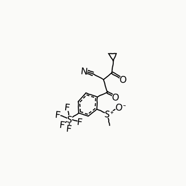 C[S+]([O-])c1cc(S(F)(F)(F)(F)F)ccc1C(=O)C(C#N)C(=O)C1CC1